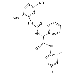 COc1ccc([N+](=O)[O-])cc1NC(=S)NC(C(=O)Nc1ccc(C)cc1C)c1ccccc1